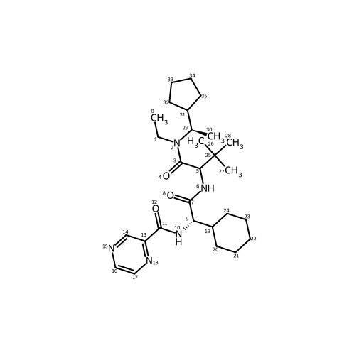 CCN(C(=O)C(NC(=O)[C@@H](NC(=O)c1cnccn1)C1CCCCC1)C(C)(C)C)[C@H](C)C1CCCC1